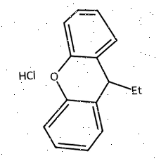 Cl.[CH2]CC1c2ccccc2Oc2ccccc21